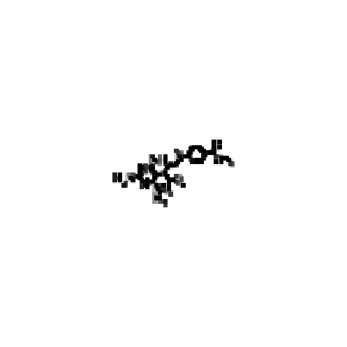 CCOC(=O)c1ccc(N(C)CCC(c2c(N)nc(N)nc2N)C(OC)OC)cc1